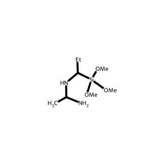 CCC(NC(C)N)[Si](OC)(OC)OC